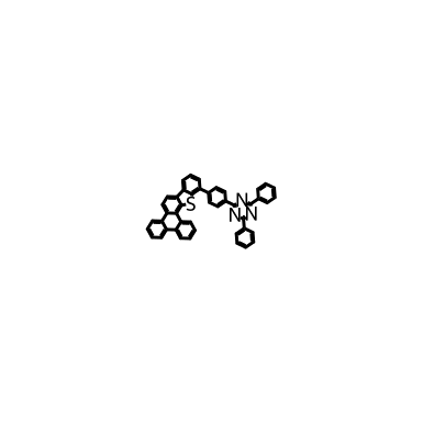 c1ccc(-c2nc(-c3ccccc3)nc(-c3ccc(-c4cccc5c4sc4c5ccc5c6ccccc6c6ccccc6c54)cc3)n2)cc1